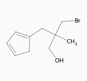 CC(CO)(CBr)CC1=CC=CC1